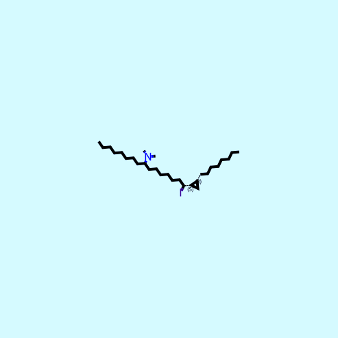 CCCCCCCCC(CCCCCCC(I)[C@H]1C[C@H]1CCCCCCCC)N(C)C